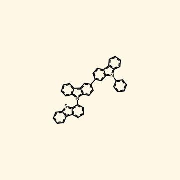 c1ccc(-n2c3ccccc3c3ccc(-c4ccc5c(c4)c4ccccc4n5-c4cccc5c4sc4ccccc45)cc32)cc1